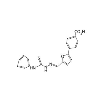 O=C(O)c1ccc(-c2ccc(C=NNC(=S)Nc3ccccc3)o2)cc1